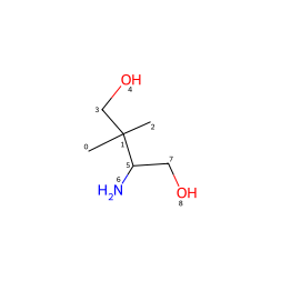 CC(C)(CO)C(N)CO